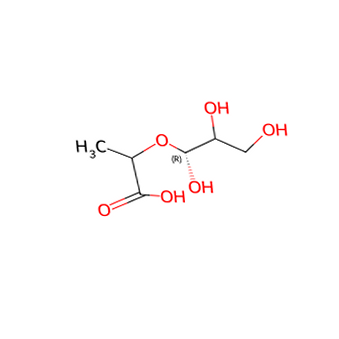 CC(O[C@@H](O)C(O)CO)C(=O)O